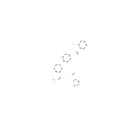 COc1cc(OC(=O)c2ccccc2[N+](=O)[O-])ccc1-c1ccc2c(c1COC(=O)c1ccc(C)s1)C(C)=CC(C)(C)N2